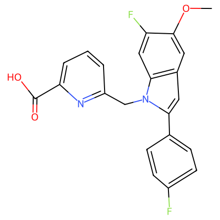 COc1cc2cc(-c3ccc(F)cc3)n(Cc3cccc(C(=O)O)n3)c2cc1F